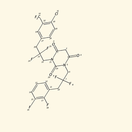 O=C1CC(=O)N(CC(F)(F)Cc2cccc(F)c2F)C(=O)N1CC(F)(F)Cc1ccc(Cl)c(C(F)(F)F)c1